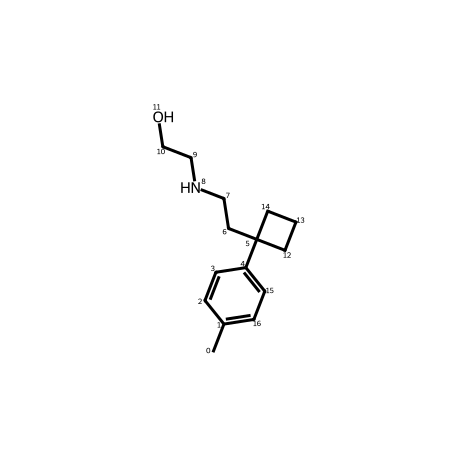 Cc1ccc(C2(CCNCCO)CCC2)cc1